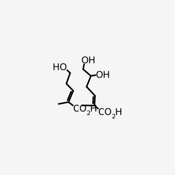 C/C(=C\CC(O)CO)C(=O)O.C/C(=C\CCO)C(=O)O